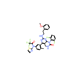 COc1ccccc1CCNc1nc(-c2cc(N(C(=O)C(F)(F)F)c3nccs3)ccc2C)c2c(n1)N(c1c(F)cccc1F)C(=O)NC2